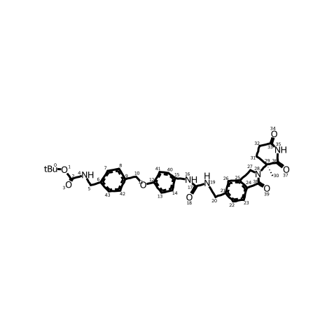 CC(C)(C)OC(=O)NCc1ccc(COc2ccc(NC(=O)NCc3ccc4c(c3)CN([C@@]3(C)CCC(=O)NC3=O)C4=O)cc2)cc1